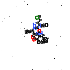 CC[C@H](C)[C@H](NC(=O)N(CCCl)N=O)C(=O)N[C@@H](CC(C)C)C(=O)OC